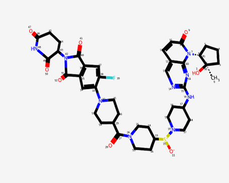 C[C@@]1(O)CCC[C@H]1n1c(=O)ccc2cnc(NC3CCN([S+]([O-])C4CCN(C(=O)C5CCN(c6cc7c(cc6F)C(=O)N(C6CCC(=O)NC6=O)C7=O)CC5)CC4)CC3)nc21